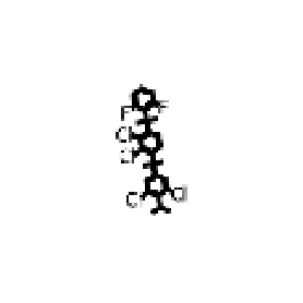 CC(C)c1c(Cl)cc(C(C)(C)c2ccc(C(C)(C)c3c(F)cccc3F)c(Cl)c2Cl)cc1Cl